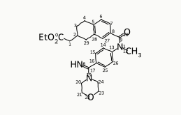 CCOC(=O)CC1CCc2ccc(C(=O)N(C)c3ccc(C(=N)N4CCOCC4)cc3)cc2C1